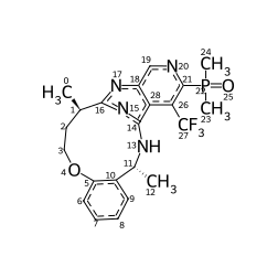 C[C@@H]1CCOc2ccccc2[C@@H](C)Nc2nc1nc1cnc(P(C)(C)=O)c(C(F)(F)F)c21